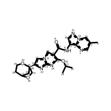 Cc1cnc2c(NC(=O)c3cn4cc([C@]56COC(CCO5)C6)nc4nc3OC(C)C)cnn2c1